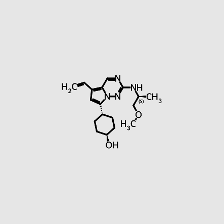 C=Cc1cc([C@H]2CC[C@H](O)CC2)n2nc(N[C@@H](C)COC)ncc12